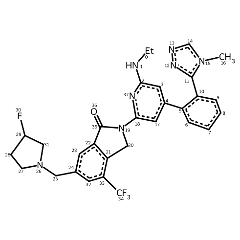 CCNc1cc(-c2ccccc2-c2nncn2C)cc(N2Cc3c(cc(CN4CCC(F)C4)cc3C(F)(F)F)C2=O)n1